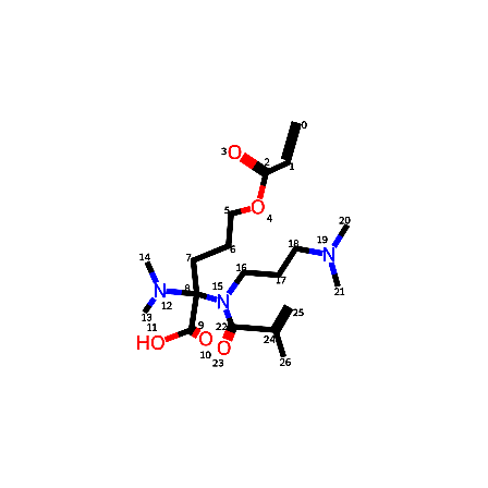 C=CC(=O)OCCCC(C(=O)O)(N(C)C)N(CCCN(C)C)C(=O)C(=C)C